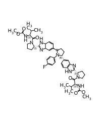 COC(=O)N[C@H](C(=O)N1CCC[C@H]1C1=NC2C=C([C@H]3CC[C@H](c4ccc5[nH]c([C@@H]6CCCN6C(=O)[C@@H](NC(=O)OC)C(C)C)nc5c4)N3c3ccc(F)cc3)C=CC2N1)C(C)C